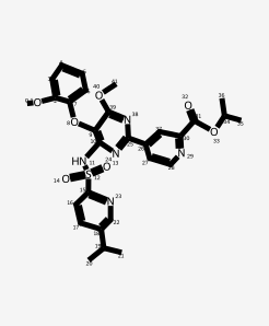 COc1ccccc1Oc1c(NS(=O)(=O)c2ccc(C(C)C)cn2)nc(-c2ccnc(C(=O)OC(C)C)c2)nc1OC